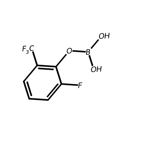 OB(O)Oc1c(F)cccc1C(F)(F)F